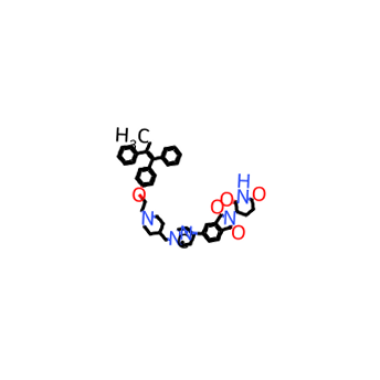 CCC(=C(c1ccccc1)c1ccc(OCCN2CCC(CN3CC4CCC3CN4c3ccc4c(c3)C(=O)N(C3CCC(=O)NC3=O)C4=O)CC2)cc1)c1ccccc1